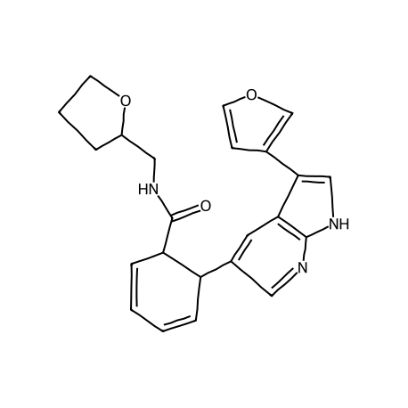 O=C(NCC1CCCO1)C1C=CC=CC1c1cnc2[nH]cc(-c3ccoc3)c2c1